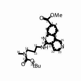 COC(=O)c1ccc2c(c1)nc(NCCCN(C)C(=O)OC(C)(C)C)c1ccncc12